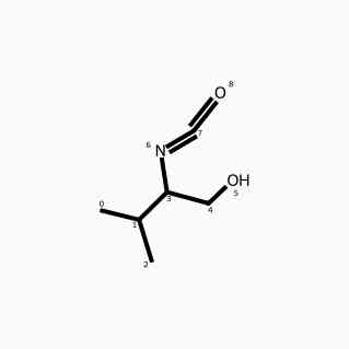 CC(C)C(CO)N=C=O